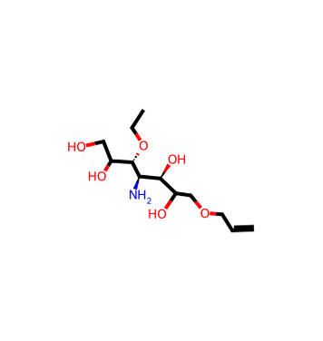 C=CCOCC(O)[C@H](O)[C@@H](N)[C@@H](OCC)C(O)CO